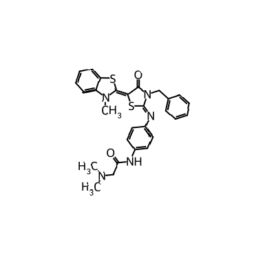 CN(C)CC(=O)Nc1ccc(N=C2SC(=C3Sc4ccccc4N3C)C(=O)N2Cc2ccccc2)cc1